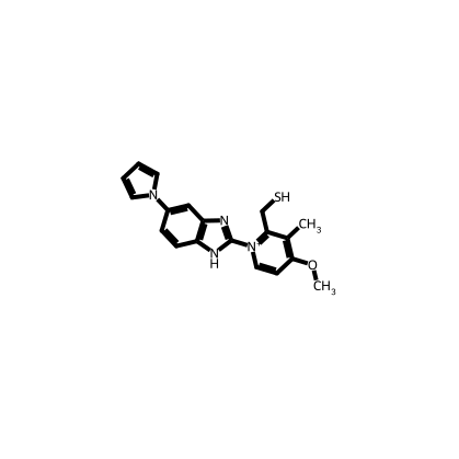 COc1cc[n+](-c2nc3cc(-n4cccc4)ccc3[nH]2)c(CS)c1C